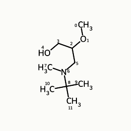 COC(CO)CN(C)C(C)(C)C